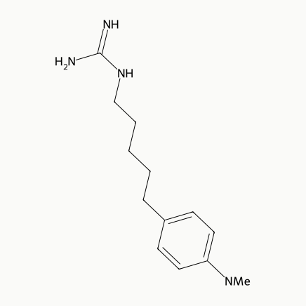 CNc1ccc(CCCCCNC(=N)N)cc1